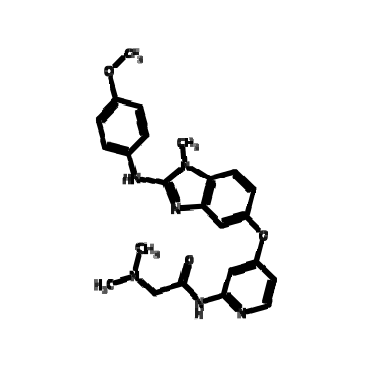 CN(C)CC(=O)Nc1cc(Oc2ccc3c(c2)nc(Nc2ccc(OC(F)(F)F)cc2)n3C)ccn1